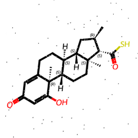 C[C@@H]1C[C@H]2[C@@H]3CCC4=CC(=O)C=C(O)[C@]4(C)[C@H]3CC[C@]2(C)[C@H]1C(=O)S